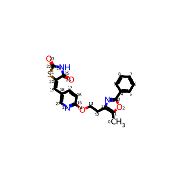 Cc1oc(-c2ccccc2)nc1CCOc1ccc(C=C2SC(=O)NC2=O)cn1